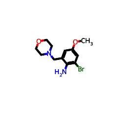 COc1cc(Br)c(N)c(CN2CCOCC2)c1